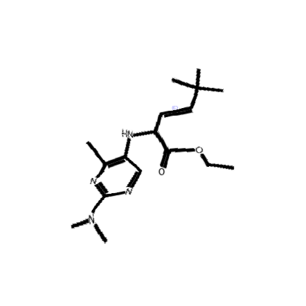 CCOC(=O)C(/C=C/C(C)(C)C)Nc1cnc(N(C)C)nc1C